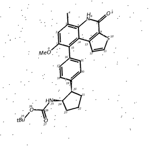 COc1cc(C)c2[nH]c(=O)c3sccc3c2c1-c1ccc([C@H]2CCC[C@H]2NC(=O)OC(C)(C)C)cc1